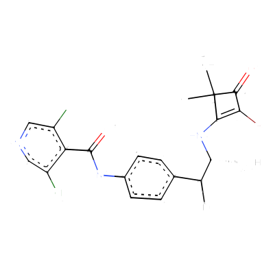 CCC(c1ccc(NC(=O)c2c(Cl)cncc2Cl)cc1)[C@H](NC1=C(Br)C(=O)C1(C)C)C(=O)O